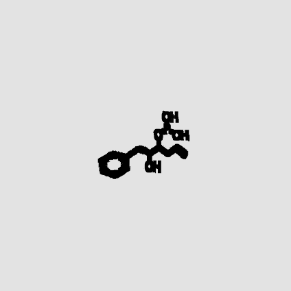 C=CCC(OP(O)O)C(O)Cc1ccccc1